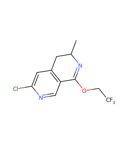 CC1Cc2cc(Cl)ncc2C(OCC(F)(F)F)=N1